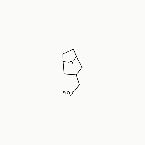 CCOC(=O)CC1CC2CCC(C1)O2